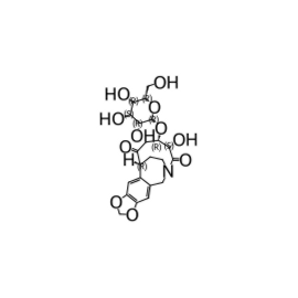 O=C1C[C@@H](O[C@@H]2O[C@H](CO)[C@H](O)[C@H](O)[C@H]2O)[C@H](O)C(=O)N2CC[C@@H]1c1cc3c(cc1C2)OCO3